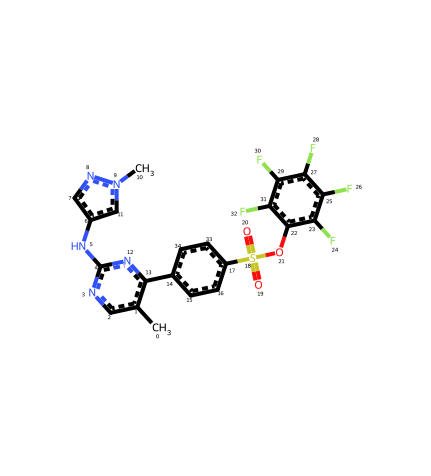 Cc1cnc(Nc2cnn(C)c2)nc1-c1ccc(S(=O)(=O)Oc2c(F)c(F)c(F)c(F)c2F)cc1